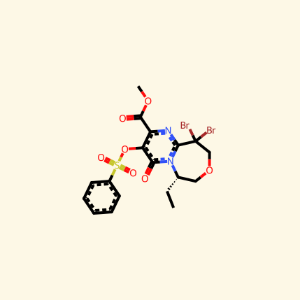 CC[C@H]1COCC(Br)(Br)c2nc(C(=O)OC)c(OS(=O)(=O)c3ccccc3)c(=O)n21